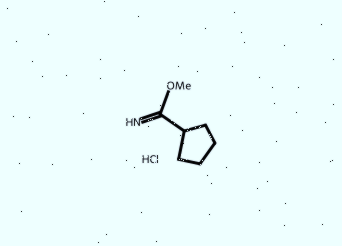 COC(=N)C1CCCC1.Cl